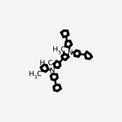 Cc1cccc(N(c2ccc(-c3ccccc3)cc2)c2ccc(-c3ccc(N(c4ccc(-c5ccccc5)cc4)c4ccc(-c5ccccc5)cc4)c(C)c3)cc2C)c1